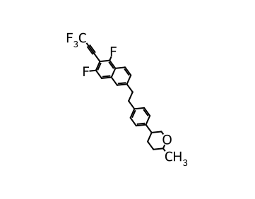 CC1CCC(c2ccc(CCc3ccc4c(F)c(C#CC(F)(F)F)c(F)cc4c3)cc2)CO1